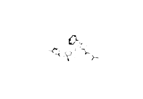 C#CC1(Cl)[C@@H](O)[C@@H](CO[P@](=O)(Oc2ccccc2)O[C@@H](C)C(=O)OC(C)C)O[C@H]1n1ncc(N)nc1=O